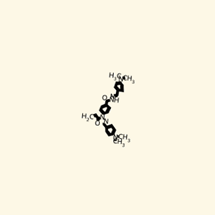 C=CC(=O)N(N=Cc1ccc(N(C)C)cc1)c1ccc(C(=O)NN=Cc2ccc(N(C)C)cc2)cc1